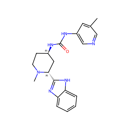 Cc1cncc(NC(=O)N[C@@H]2CCN(C)[C@@H](c3nc4ccccc4[nH]3)C2)c1